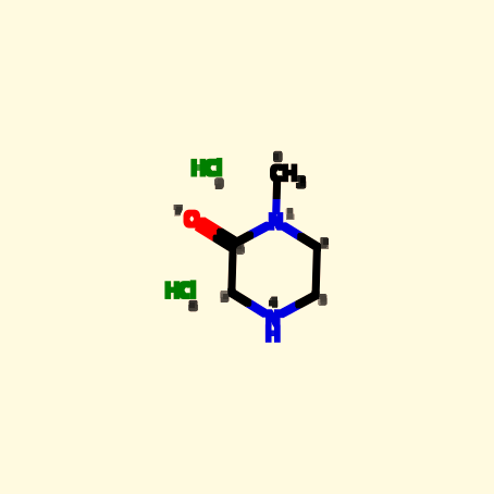 CN1CCNCC1=O.Cl.Cl